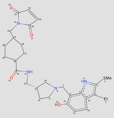 CCc1c(SC)[nH]c2c(CN3CC[C@H](CNC(=O)C4CCC(CN5C(=O)C=CC5=O)CC4)C3)c(O)ccc12